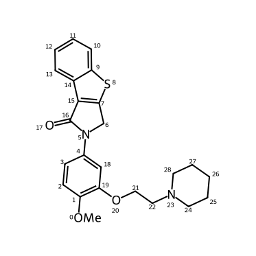 COc1ccc(N2Cc3sc4ccccc4c3C2=O)cc1OCCN1CCCCC1